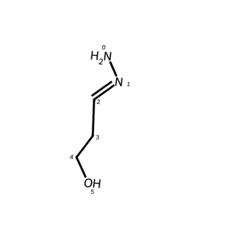 NN=CCCO